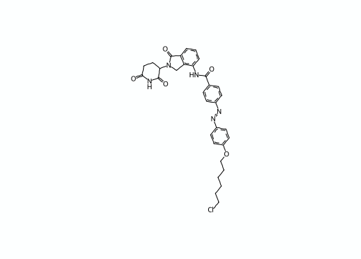 O=C1CCC(N2Cc3c(NC(=O)c4ccc(N=Nc5ccc(OCCCCCCCl)cc5)cc4)cccc3C2=O)C(=O)N1